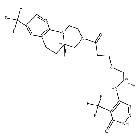 C[C@@H](COCCC(=O)N1CCN2c3ncc(C(F)(F)F)cc3CC[C@H]2C1)Nc1cn[nH]c(=O)c1C(F)(F)F